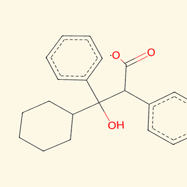 [O]C(=O)C(c1ccccc1)C(O)(c1ccccc1)C1CCCCC1